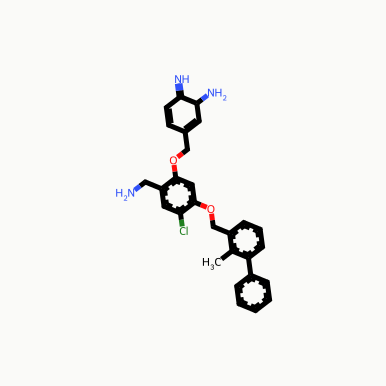 Cc1c(COc2cc(OCC3=CC(N)C(=N)C=C3)c(CN)cc2Cl)cccc1-c1ccccc1